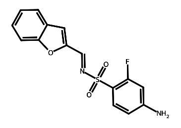 Nc1ccc(S(=O)(=O)N=Cc2cc3ccccc3o2)c(F)c1